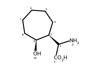 NC(C(=O)O)[C@@H]1CCCCC[C@@H]1O